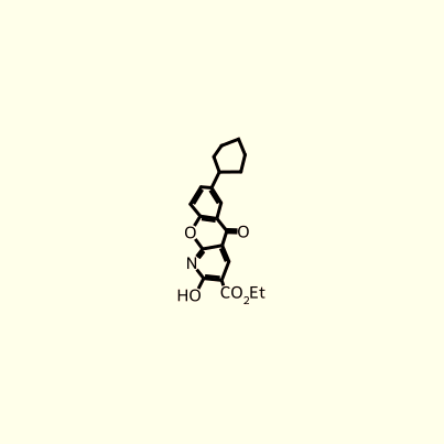 CCOC(=O)c1cc2c(=O)c3cc(C4CCCCC4)ccc3oc2nc1O